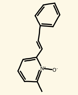 Cc1cccc(/C=C/c2ccccc2)[n+]1[O-]